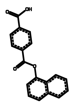 O=C(O)c1ccc(C(=O)Oc2cccc3ccccc23)cc1